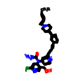 NC(=O)N(c1ccnc(C#Cc2cccc(C3CCN(CCCC(=O)O)CC3)c2)c1)c1cc(F)ncc1CO